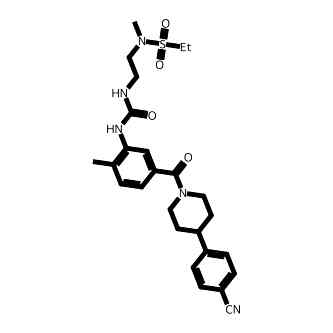 CCS(=O)(=O)N(C)CCNC(=O)Nc1cc(C(=O)N2CCC(c3ccc(C#N)cc3)CC2)ccc1C